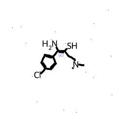 CN(C)CC/C(S)=C(/N)c1ccc(Cl)cc1